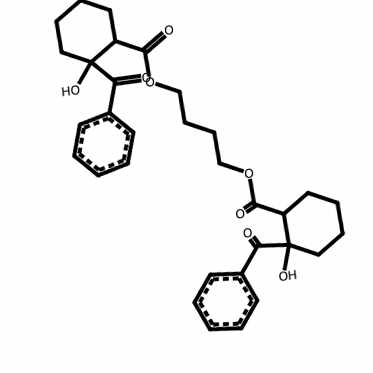 O=C(OCCCCOC(=O)C1CCCCC1(O)C(=O)c1ccccc1)C1CCCCC1(O)C(=O)c1ccccc1